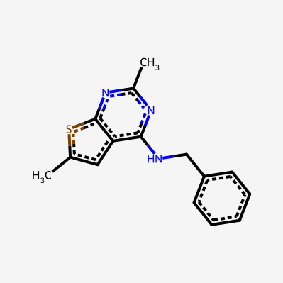 Cc1nc(NCc2ccccc2)c2cc(C)sc2n1